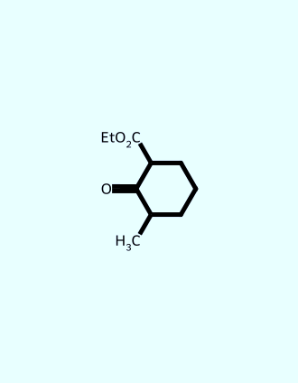 CCOC(=O)C1CCCC(C)C1=O